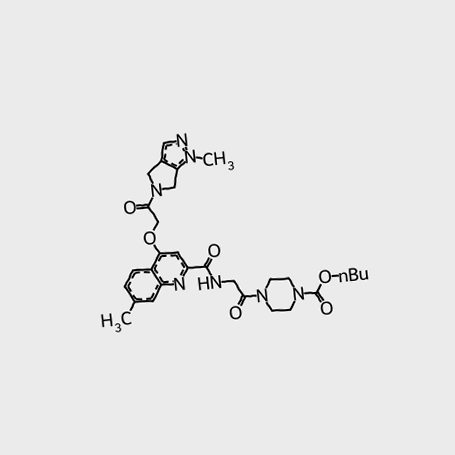 CCCCOC(=O)N1CCN(C(=O)CNC(=O)c2cc(OCC(=O)N3Cc4cnn(C)c4C3)c3ccc(C)cc3n2)CC1